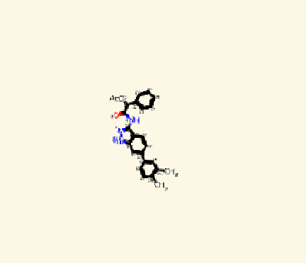 CC(=O)OC(C(=O)Nc1n[nH]c2cc(-c3ccc(C)c(C)c3)ccc12)c1ccccc1